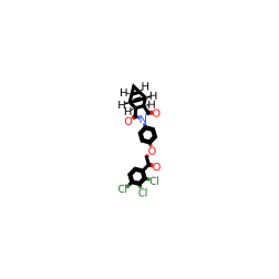 O=C(COc1ccc(N2C(=O)[C@@H]3[C@@H]4C=C[C@@H]([C@H]5C[C@@H]45)[C@@H]3C2=O)cc1)c1ccc(Cl)c(Cl)c1Cl